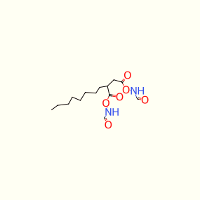 CCCCCCCCC(CC(=O)ONC=O)C(=O)ONC=O